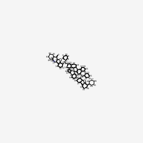 C=C(c1oc2c(N(c3ccccc3)c3ccc4c5c(ccc4c3)-c3c(cc(N(c4ccccc4)c4cccc6c4oc4c(C7CCCCC7)cccc46)c4ccccc34)C53c4ccccc4-c4ccccc43)cccc2c1/C=C\C)C1CCCCC1